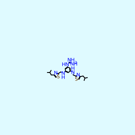 CC(C)Cc1csc(CNc2cc(NCc3nc(CC(C)C)cs3)cc(NC(=N)N)c2)n1